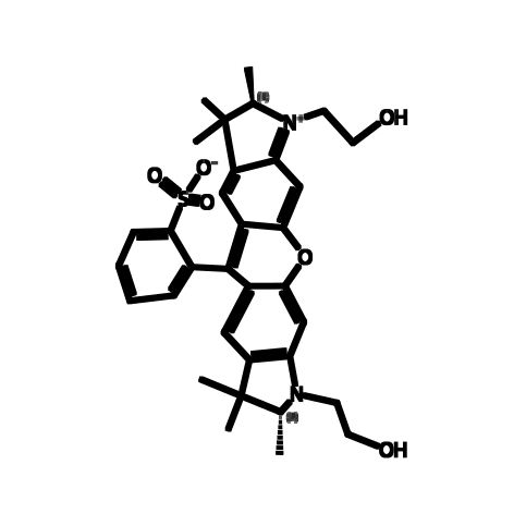 C[C@H]1N(CCO)c2cc3c(cc2C1(C)C)C(c1ccccc1S(=O)(=O)[O-])=c1cc2c(cc1O3)=[N+](CCO)[C@H](C)C2(C)C